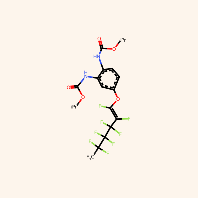 CC(C)OC(=O)Nc1ccc(OC(F)=C(F)C(F)(F)C(F)(F)C(F)(F)C(F)(F)F)cc1NC(=O)OC(C)C